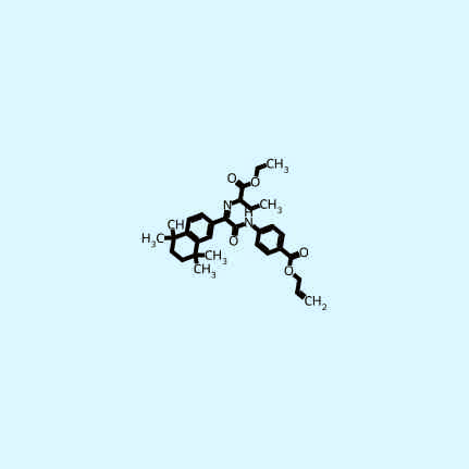 C=CCOC(=O)c1ccc(NC(=O)C(=NC(CC)C(=O)OCC)c2ccc3c(c2)C(C)(C)CCC3(C)C)cc1